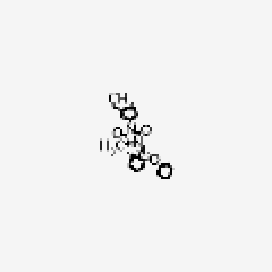 CCc1cccc(N2C(=O)N(Cc3ccccc3Oc3ccccc3)C(C)(C)C2=O)c1